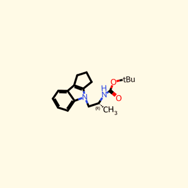 C[C@H](Cn1c2c(c3ccccc31)CCC2)NC(=O)OC(C)(C)C